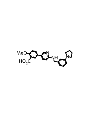 COc1ccc(-c2ccc(NCc3cccc(N4CCCC4)c3)nc2)cc1C(=O)O